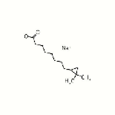 CC1(C)CC1CCCCCCCC(=O)[O-].[Na+]